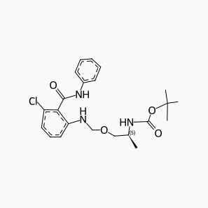 C[C@@H](COCNc1cccc(Cl)c1C(=O)Nc1ccccc1)NC(=O)OC(C)(C)C